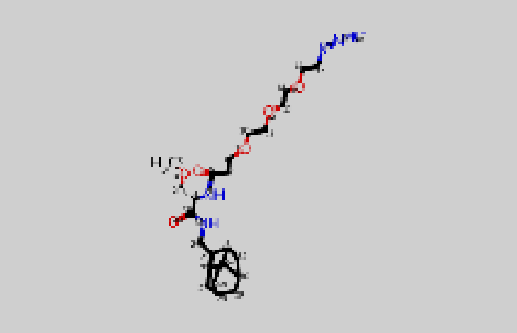 COC[C@H](NC(=O)CCOCCOCCOCCN=[N+]=[N-])C(=O)NCC1C2CC3CC(C2)CC1C3